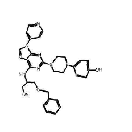 OCC(COCc1ccccc1)Nc1nc(N2CCN(c3ccc(O)cc3)CC2)nc2c1ncn2-c1ccncc1